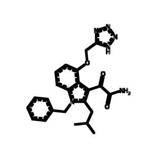 CC(C)Cc1c(C(=O)C(N)=O)c2c(OCc3nnn[nH]3)cccc2n1Cc1ccccc1